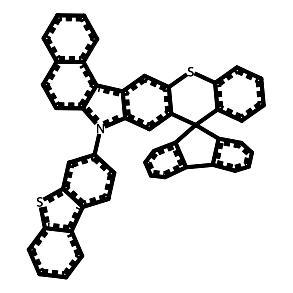 c1ccc2c(c1)Sc1cc3c4c5ccccc5ccc4n(-c4ccc5c(c4)sc4ccccc45)c3cc1C21c2ccccc2-c2ccccc21